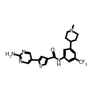 CN1CCC(c2cc(NC(=O)c3csc(-c4cnc(N)nc4)c3)cc(C(F)(F)F)c2)CC1